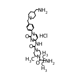 C[C@@H]1CN(C(=O)Nc2ccn(-c3ccc(CN4CCC(CN)CC4)cc3)c(=O)n2)CCN1C(=O)C(C)(C)N.Cl